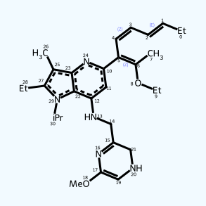 CC/C=C/C=C\C(=C(/C)OCC)c1cc(NCC2=NC(OC)=CNC2)c2c(n1)c(C)c(CC)n2C(C)C